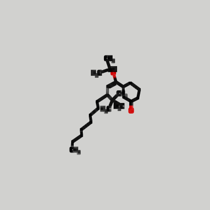 CCCCCCCCC(/C=C(/O[SiH](C)C)C1CCCC(=O)C1)C(C)(C)C